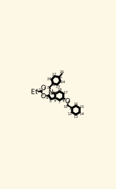 CCC(=O)Oc1cc2cc(OCc3ccccc3)ccc2n1Cc1ccc(C)cc1